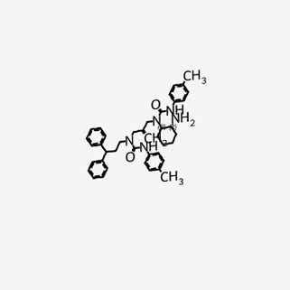 C=C(CN(CCC(c1ccccc1)c1ccccc1)C(=O)Nc1ccc(C)cc1)CN(C(=O)Nc1ccc(C)cc1)[C@@H]1CCCC[C@H]1N